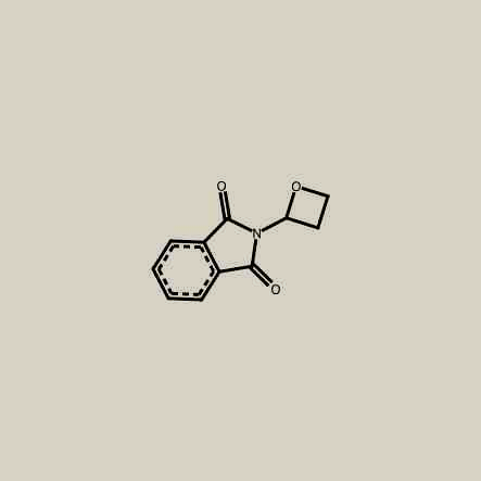 O=C1c2ccccc2C(=O)N1C1CCO1